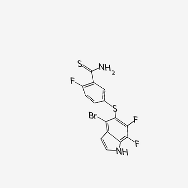 NC(=S)c1cc(Sc2c(F)c(F)c3[nH]ccc3c2Br)ccc1F